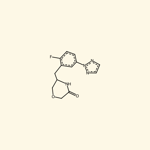 O=C1COCC(Cc2cc(-n3nccn3)ccc2F)N1